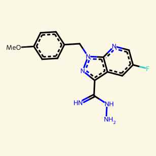 COc1ccc(Cn2nc(C(=N)NN)c3cc(F)cnc32)cc1